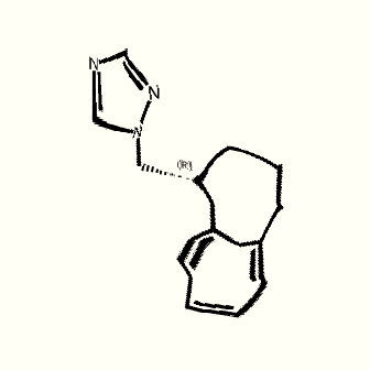 c1ccc2c(c1)CCC[C@H]2Cn1cncn1